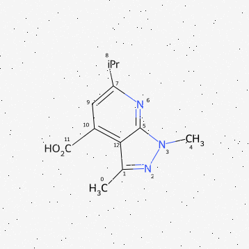 Cc1nn(C)c2nc(C(C)C)cc(C(=O)O)c12